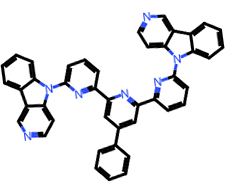 c1ccc(-c2cc(-c3cccc(-n4c5ccccc5c5cnccc54)n3)nc(-c3cccc(-n4c5ccccc5c5cnccc54)n3)c2)cc1